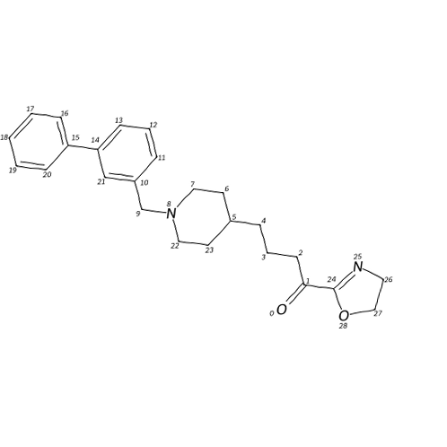 O=C(CCCC1CCN(Cc2cccc(-c3ccccc3)c2)CC1)C1=NCCO1